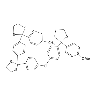 COc1ccc(C2(c3ccc(Oc4ccc(C5(c6ccc(C7(c8ccc(C)cc8)SCCS7)cc6)SCCS5)cc4)cc3)SCCS2)cc1